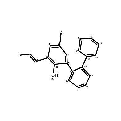 CC=Cc1cc(F)cc(-c2ccccc2-c2ccccc2)c1O